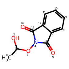 CC(O)ON1C(=O)c2ccccc2C1=O